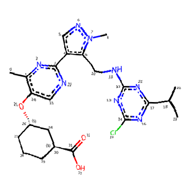 Cc1nc(-c2cnn(C)c2CNc2nc(Cl)nc(C(C)C)n2)ncc1O[C@H]1CCC[C@H](C(=O)O)C1